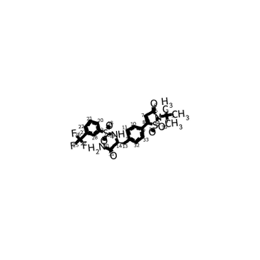 CC(C)(C)N1C(=O)C=C(c2ccc(C[C@H](NS(=O)(=O)c3cccc(C(F)(F)F)c3)C(N)=O)cc2)S1(=O)=O